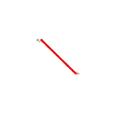 CCCCCCCCCCCCCCCCCCCCCCCCCCCCCCCCCCCCCCCCCCCCCCCCCCCCCCCCCCCCCCCCCCCCCCCCCCCCCCCCCCCCCCCCCCCCCCCCCC=CC(=O)O